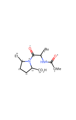 CCC(C)C(NC(=O)OC)C(=O)N1C(CC)CCC1C(=O)O